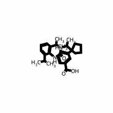 CC(C)c1cccc(C(C)C)c1NC(=O)NC(C)C1(c2cccc(C(=O)O)c2)CCCC1